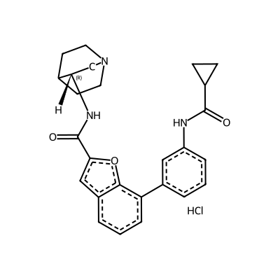 Cl.O=C(N[C@H]1CN2CCC1CC2)c1cc2cccc(-c3cccc(NC(=O)C4CC4)c3)c2o1